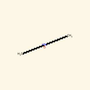 CCCCCCCCC=CCCCCCCCCNC(=O)CCCCCCCCCCCCCCCCC